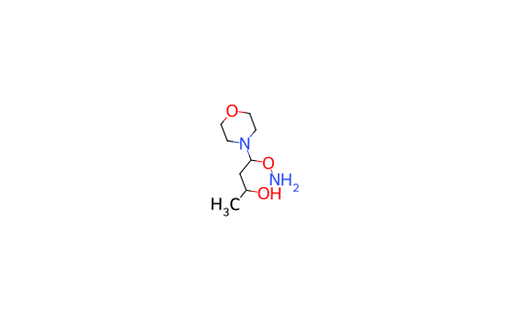 CC(O)CC(ON)N1CCOCC1